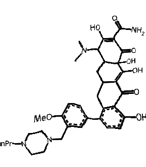 CCCN1CCN(Cc2cc(-c3ccc(O)c4c3CC3CC5C(N(C)C)C(O)=C(C(N)=O)C(=O)C5(O)C(O)=C3C4=O)ccc2OC)CC1